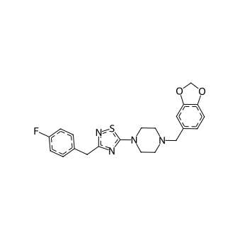 Fc1ccc(Cc2nsc(N3CCN(Cc4ccc5c(c4)OCO5)CC3)n2)cc1